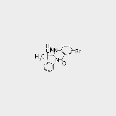 CC1(C)c2ccccc2N2C(=O)c3cc(Br)ccc3NC21